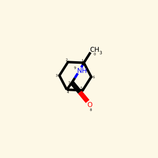 CC12CCC(CC1)C(=O)N2